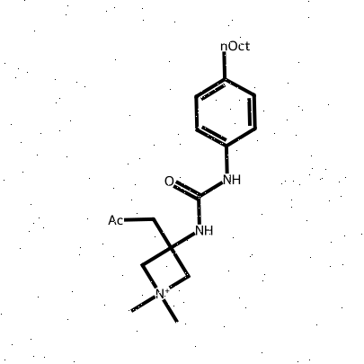 CCCCCCCCc1ccc(NC(=O)NC2(CC(C)=O)C[N+](C)(C)C2)cc1